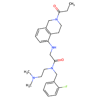 CCC(=O)N1CCc2c(cccc2NCC(=O)N(CCN(C)C)Cc2ccccc2F)C1